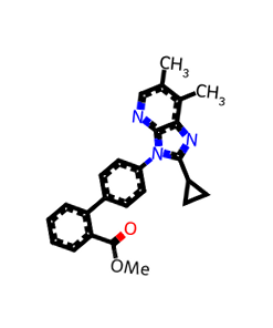 COC(=O)c1ccccc1-c1ccc(-n2c(C3CC3)nc3c(C)c(C)cnc32)cc1